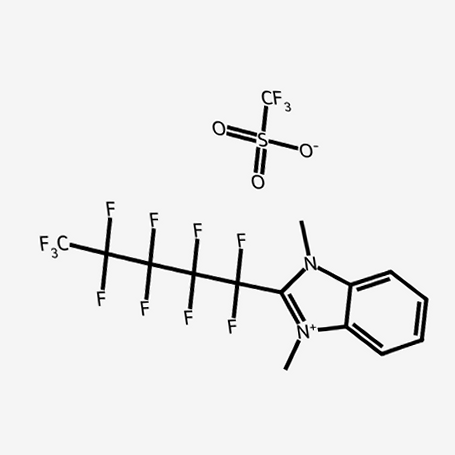 Cn1c(C(F)(F)C(F)(F)C(F)(F)C(F)(F)C(F)(F)F)[n+](C)c2ccccc21.O=S(=O)([O-])C(F)(F)F